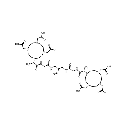 CC(C(=O)NCC(=O)NCC(C=O)CNC(=O)CNC(=O)C(C)N1CCN(CC(=O)O)CCN(CC(=O)O)CCN(CC(=O)O)CC1)N1CCN(CC(=O)O)CCN(CC(=O)O)CCN(CC(=O)O)CC1